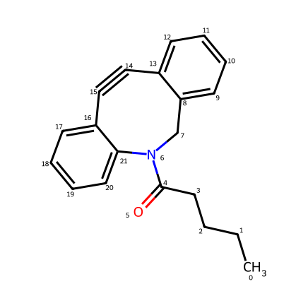 CCCCC(=O)N1Cc2ccccc2C#Cc2ccccc21